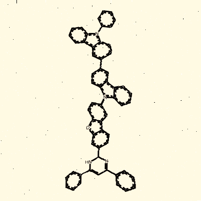 C1=C(c2ccccc2)NC(c2ccc3c(c2)oc2ccc(-n4c5ccccc5c5cc(-c6ccc7c(c6)c6ccccc6n7-c6ccccc6)ccc54)cc23)N=C1c1ccccc1